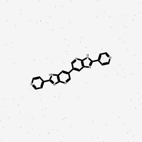 c1cc(-c2nc3ncc(-c4cnc5[nH]c(-c6ccncc6)nc5c4)cc3[nH]2)ccn1